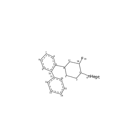 CCCCCCCC1CCC(c2ccccc2-c2ccccc2)CC1F